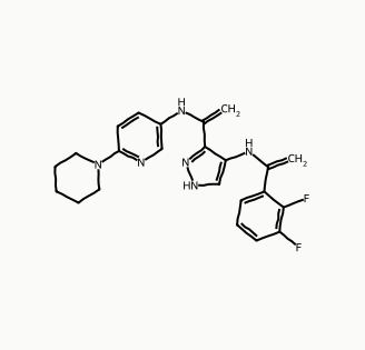 C=C(Nc1c[nH]nc1C(=C)Nc1ccc(N2CCCCC2)nc1)c1cccc(F)c1F